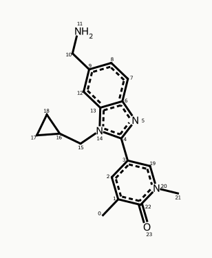 Cc1cc(-c2nc3ccc(CN)cc3n2CC2CC2)cn(C)c1=O